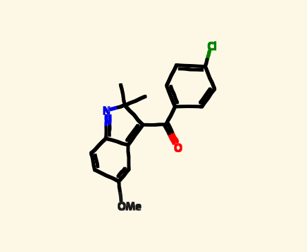 COc1ccc2c(c1)=C(C(=O)c1ccc(Cl)cc1)C(C)(C)N=2